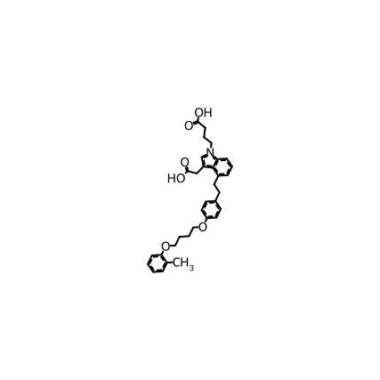 Cc1ccccc1OCCCCOc1ccc(CCc2cccc3c2c(CC(=O)O)cn3CCCC(=O)O)cc1